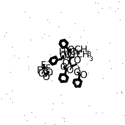 C[P+](C)(C)C1O[C@H](COC(=O)c2ccccc2)[C@@H](OC(=O)c2ccccc2)[C@H](OC(=O)c2ccccc2)[C@H]1OC(=O)c1ccccc1.O=S(=O)([O-])C(F)(F)F